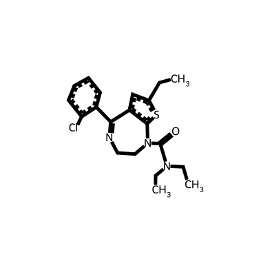 CCc1cc2c(s1)N(C(=O)N(CC)CC)CCN=C2c1ccccc1Cl